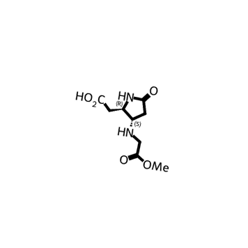 COC(=O)CN[C@H]1CC(=O)N[C@@H]1CC(=O)O